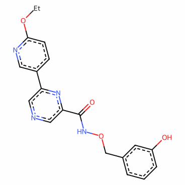 CCOc1ccc(-c2cncc(C(=O)NOCc3cccc(O)c3)n2)cn1